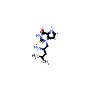 CC(C)CC(N)Cn1c(=S)[nH]c(=O)c2[nH]ccc21